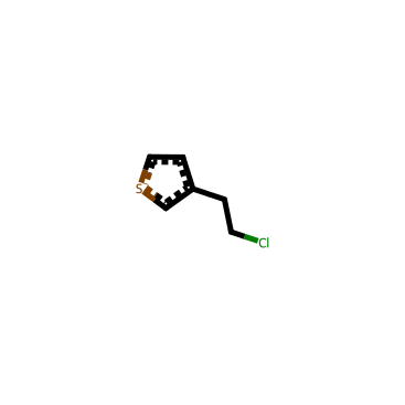 ClCCc1ccsc1